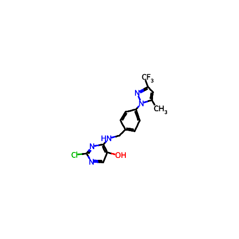 Cc1cc(C(F)(F)F)nn1-c1ccc(CNc2nc(Cl)ncc2O)cc1